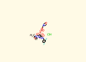 C[C@H]1CO[C@@H]2Cn3cc(C(=O)NCc4ccc(F)cc4F)c(=O)c(OCOC(=O)OCCN4CCOCC4)c3C(=O)N12.Cl